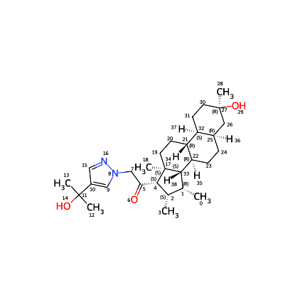 C[C@@H]1[C@H](C)[C@H](C(=O)Cn2cc(C(C)(C)O)cn2)[C@@]2(C)CC[C@H]3[C@@H](CC[C@@H]4C[C@](C)(O)CC[C@@H]43)[C@H]12